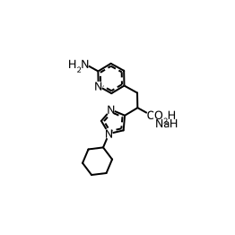 Nc1ccc(CC(C(=O)O)c2cn(C3CCCCC3)cn2)cn1.[NaH]